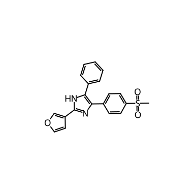 CS(=O)(=O)c1ccc(-c2nc(-c3ccoc3)[nH]c2-c2ccccc2)cc1